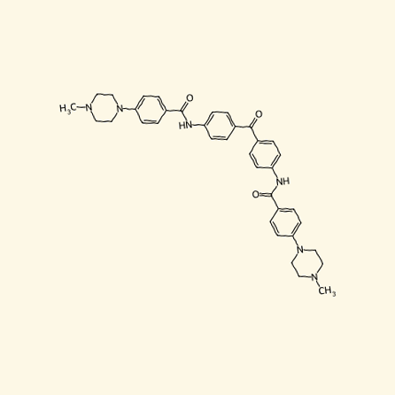 CN1CCN(c2ccc(C(=O)Nc3ccc(C(=O)c4ccc(NC(=O)c5ccc(N6CCN(C)CC6)cc5)cc4)cc3)cc2)CC1